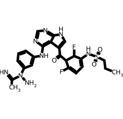 CCCS(=O)(=O)NC1=CC=C(F)C(C(=O)c2c[nH]c3ncnc(Nc4cccc(N(N)C(C)=N)c4)c23)C1F